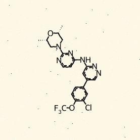 C[C@@H]1CN(c2nccc(Nc3cc(-c4ccc(OC(F)(F)F)c(Cl)c4)cnn3)n2)C[C@H](C)O1